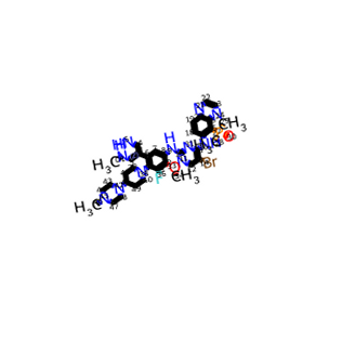 CN/C=C(\C=N)c1cc(Nc2ncc(Br)c(Nc3ccc4nccnc4c3P(C)(C)=O)n2)c(OC)c(F)c1N1CCC(N2CCN(C)CC2)CC1